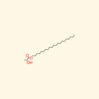 CCCCCCCCCCCCCCCCCCCCCOC(=O)C(C)O